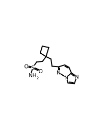 NS(=O)(=O)CCC1(CCc2ccc3nccn3n2)CCC1